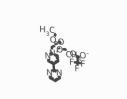 CCOP(=O)(C[n+]1ccc(-c2ncccn2)cn1)OCC.O=C([O-])C(F)(F)F